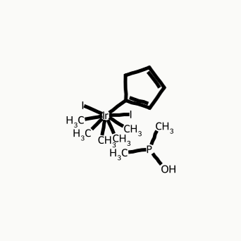 CP(C)O.[CH3][Ir]([CH3])([CH3])([CH3])([CH3])([I])([I])[C]1=CC=CC1